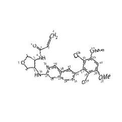 C=CC(=O)NC1COCC1Nc1cc2cnc(-c3c(Cl)c(OC)cc(OC)c3Cl)cc2cn1